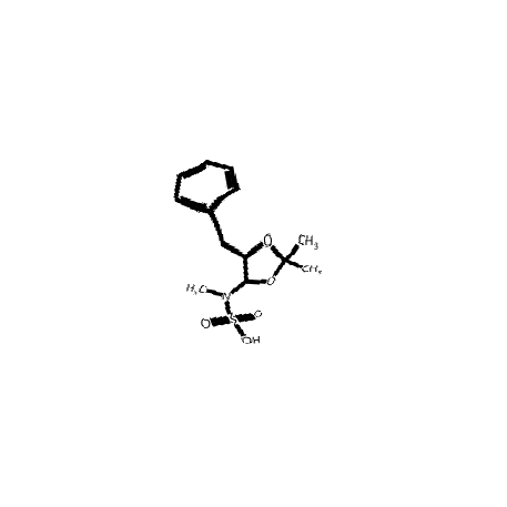 CN(C1OC(C)(C)OC1Cc1ccccc1)S(=O)(=O)O